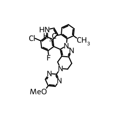 COc1cnc(N2CCc3nn(-c4c(C)cccc4C)c(-c4c(F)cc(Cl)c5[nH]ccc45)c3C2)nc1